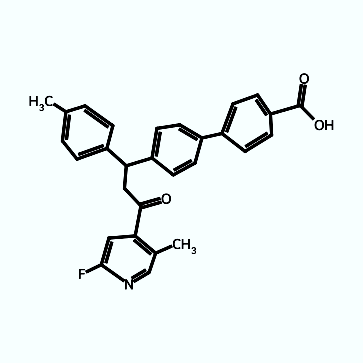 Cc1ccc(C(CC(=O)c2cc(F)ncc2C)c2ccc(-c3ccc(C(=O)O)cc3)cc2)cc1